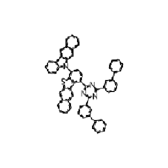 c1ccc(-c2cccc(-c3nc(-c4cccc(-c5ccccc5)c4)nc(-c4ccc(-n5c6ccccc6c6cc7ccccc7cc65)c5sc6cc7ccccc7cc6c45)n3)c2)cc1